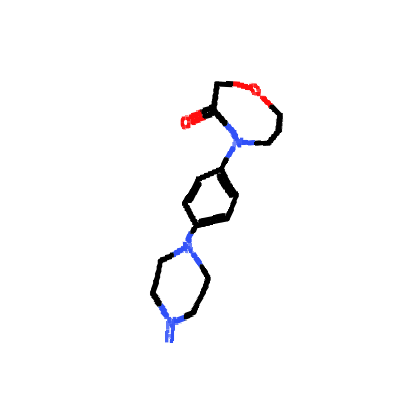 O=C1COCCN1c1ccc(N2CCNCC2)cc1